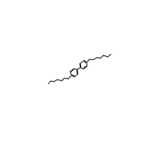 CCCCCCCc1ccc(-c2ccc(CCCCCCC)cc2)cc1